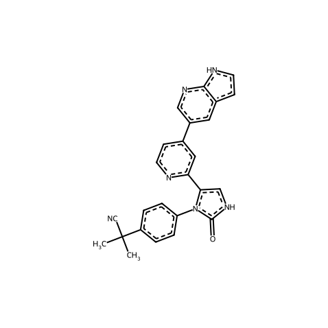 CC(C)(C#N)c1ccc(-n2c(-c3cc(-c4cnc5[nH]ccc5c4)ccn3)c[nH]c2=O)cc1